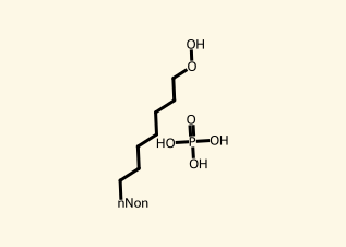 CCCCCCCCCCCCCCCCOO.O=P(O)(O)O